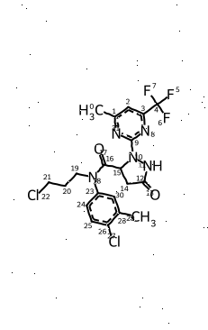 Cc1cc(C(F)(F)F)nc(N2NC(=O)CC2C(=O)N(CCCCl)c2ccc(Cl)c(C)c2)n1